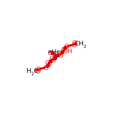 C=CC(=O)OCCCCCCOc1ccc(OC(=O)C2CCC(C(=O)Oc3ccc4c(c3)nc(Sc3ccc(OCCCCCC)cc3)c3cc(OC(=O)C5CCC(C(O)Oc6ccc(OCCCCCCOC(=O)C=C)cc6)CC5)ccc34)CC2)cc1